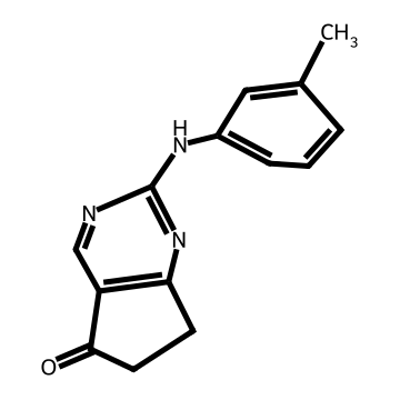 Cc1cccc(Nc2ncc3c(n2)CCC3=O)c1